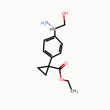 CCOC(=O)C1(c2ccc([Si@H](N)CO)cc2)CC1